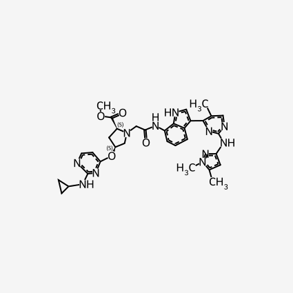 COC(=O)[C@@H]1C[C@H](Oc2ccnc(NC3CC3)n2)CN1CC(=O)Nc1cccc2c(-c3nc(Nc4cc(C)n(C)n4)ncc3C)c[nH]c12